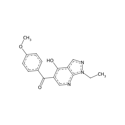 CCn1ncc2c(O)c(C(=O)c3ccc(OC)cc3)cnc21